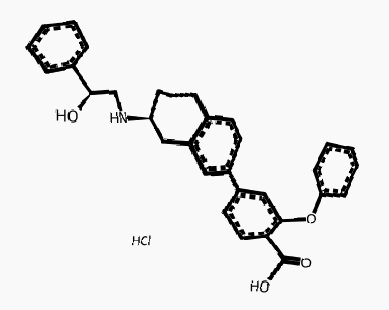 Cl.O=C(O)c1ccc(-c2ccc3c(c2)C[C@@H](NC[C@@H](O)c2ccccc2)CC3)cc1Oc1ccccc1